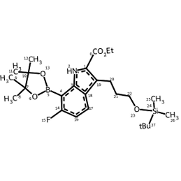 CCOC(=O)c1[nH]c2c(B3OC(C)(C)C(C)(C)O3)c(F)ccc2c1CCCO[Si](C)(C)C(C)(C)C